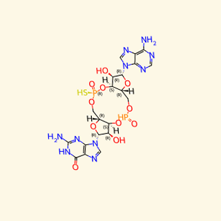 Nc1nc2c(ncn2[C@@H]2O[C@@H]3CO[P@@](=O)(S)O[C@H]4[C@@H](O)[C@H](n5cnc6c(N)ncnc65)O[C@@H]4CO[PH](=O)O[C@H]3[C@H]2O)c(=O)[nH]1